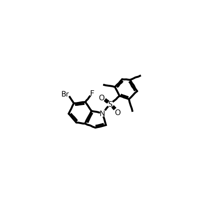 Cc1cc(C)c(S(=O)(=O)n2ccc3ccc(Br)c(F)c32)c(C)c1